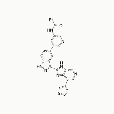 CCC(=O)Nc1cncc(-c2ccc3[nH]nc(-c4nc5c(-c6ccsc6)cncc5[nH]4)c3c2)c1